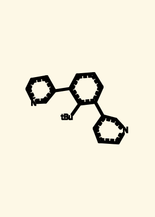 CC(C)(C)c1c(-c2cccnc2)cccc1-c1cccnc1